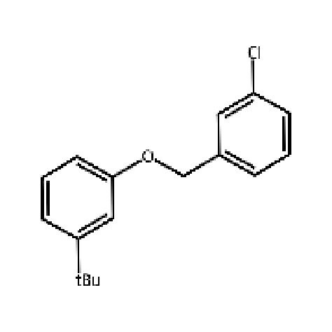 CC(C)(C)c1cccc(OCc2cccc(Cl)c2)c1